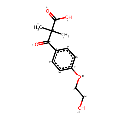 CC(C)(C(=O)O)C(=O)c1ccc(OCCO)cc1